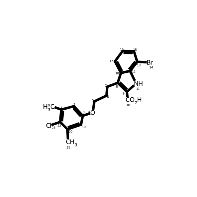 Cc1cc(OCCCc2c(C(=O)O)[nH]c3c(Br)cccc23)cc(C)c1Cl